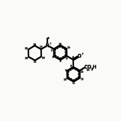 CN(c1ccc(C(=O)c2ccccc2C(=O)O)cc1)C1CCCCC1